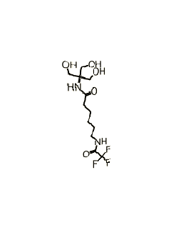 O=C(CCCCCNC(=O)C(F)(F)F)NC(CO)(CO)CO